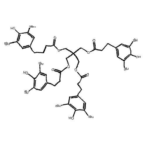 CC(C)(C)c1cc(CCCC(=O)OCC(COC(=O)CCc2cc(C(C)(C)C)c(O)c(C(C)(C)C)c2)(COC(=O)CCc2cc(C(C)(C)C)c(O)c(C(C)(C)C)c2)COC(=O)CCc2cc(C(C)(C)C)c(O)c(C(C)(C)C)c2)cc(C(C)(C)C)c1O